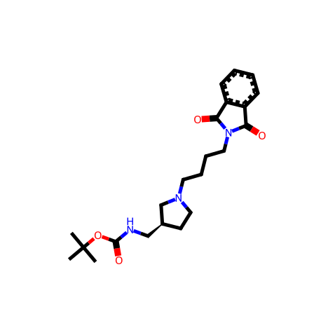 CC(C)(C)OC(=O)NC[C@@H]1CCN(CCCCN2C(=O)c3ccccc3C2=O)C1